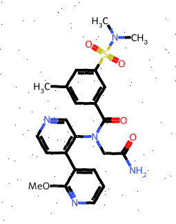 COc1ncccc1-c1ccncc1N(CC(N)=O)C(=O)c1cc(C)cc(S(=O)(=O)N(C)C)c1